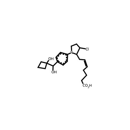 O=C(O)CCC/C=C\CC1C(Cl)CCN1c1ccc(C(O)C2(O)CCC2)cc1